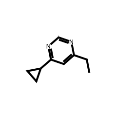 CCc1cc(C2CC2)n[c]n1